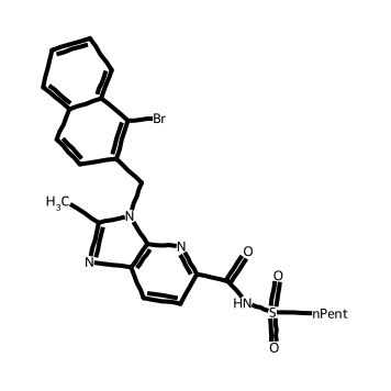 CCCCCS(=O)(=O)NC(=O)c1ccc2nc(C)n(Cc3ccc4ccccc4c3Br)c2n1